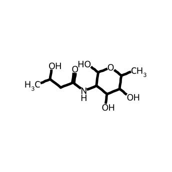 CC(O)CC(=O)NC1C(O)OC(C)C(O)C1O